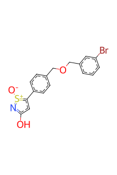 [O-][s+]1nc(O)cc1-c1ccc(COCc2cccc(Br)c2)cc1